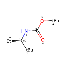 CC[C@@H](NC(=O)OC(C)(C)C)C(C)(C)C